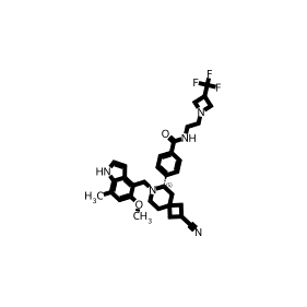 COc1cc(C)c2[nH]ccc2c1CN1CCC2(CC(C#N)C2)C[C@H]1c1ccc(C(=O)NCCN2CC(C(F)(F)F)C2)cc1